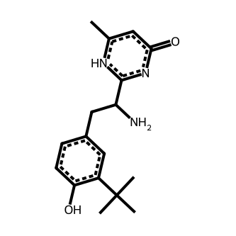 Cc1cc(=O)nc(C(N)Cc2ccc(O)c(C(C)(C)C)c2)[nH]1